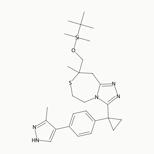 Cc1n[nH]cc1-c1ccc(C2(c3nnc4n3CCSC(C)(CO[Si](C)(C)C(C)(C)C)C4)CC2)cc1